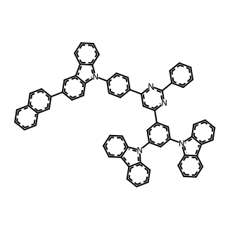 c1ccc(-c2nc(-c3ccc(-n4c5ccccc5c5cc(-c6ccc7ccccc7c6)ccc54)cc3)cc(-c3cc(-n4c5ccccc5c5ccccc54)cc(-n4c5ccccc5c5ccccc54)c3)n2)cc1